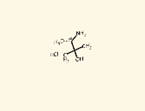 C[C@H](N)C(C)(C)O.Cl